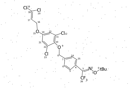 CC(C)(C)ON=C(c1ccc(COc2c(Cl)cc(OCC=C(Cl)Cl)cc2Cl)cc1)C(F)(F)F